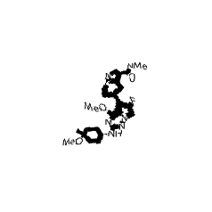 CNC(=O)c1cnn2ccc(-c3c(F)cn4nc(N[C@H]5CC[C@](C)(OC)CC5)nc(OC)c34)cc12